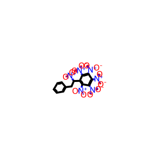 O=[N+]([O-])c1c(C(Cc2ccccc2)[N+](=O)[O-])c([N+](=O)[O-])c([N+](=O)[O-])c([N+](=O)[O-])c1[N+](=O)[O-]